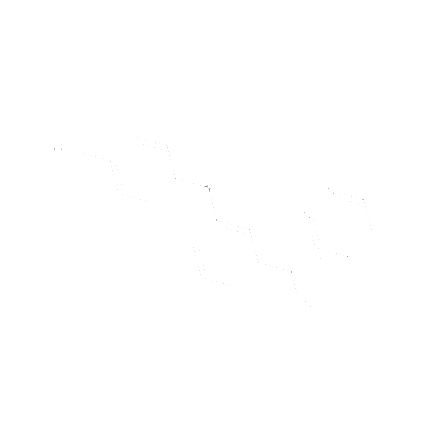 COc1ccc(C(=O)c2cccc(C(C#N)c3ccc(Cl)nn3)c2Cl)cc1